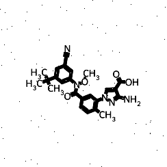 CON(C(=O)c1ccc(C)c(-n2cc(C(=O)O)c(N)n2)c1)c1cc(C#N)cc(C(C)(C)C)c1